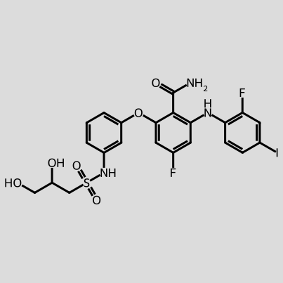 NC(=O)c1c(Nc2ccc(I)cc2F)cc(F)cc1Oc1cccc(NS(=O)(=O)CC(O)CO)c1